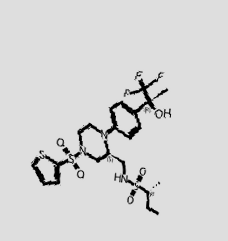 CC[C@@H](C)S(=O)(=O)NC[C@H]1CN(S(=O)(=O)c2cccs2)CCN1c1ccc([C@@](C)(O)C(F)(F)F)cc1